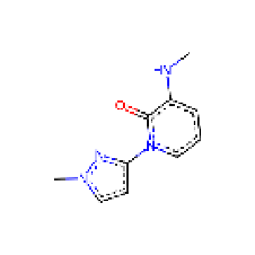 CNc1cccn(-c2ccn(C)n2)c1=O